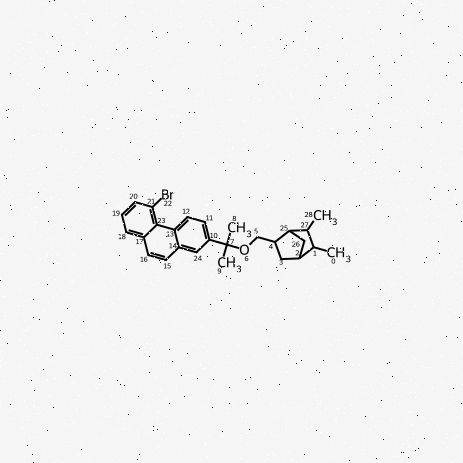 CC1C2CC(COC(C)(C)c3ccc4c(ccc5cccc(Br)c54)c3)C(C2)C1C